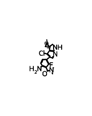 C[C@@H]1C[C@]12CNc1ncc(-c3ccc(N)c(C(=O)N(C)C)c3F)c(Cl)c12